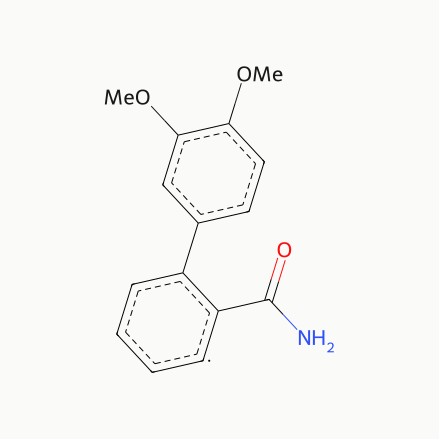 COc1ccc(-c2ccc[c]c2C(N)=O)cc1OC